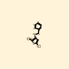 Clc1cc(SCc2ccccc2)c(Cl)s1